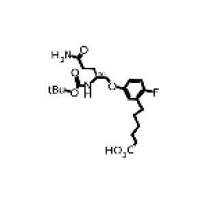 CC(C)(C)OC(=O)N[C@@H](CCC(N)=O)COc1ccc(F)c(CCCCCC(=O)O)c1